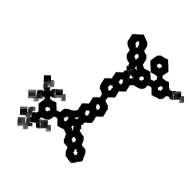 Cc1ccc(-c2cc3c4cc5ccccc5cc4n4c5cc6ccc(-c7ccc8cc9c(cc8c7)c7cc(-c8cc(C(C)(C)C)cc(C(C)(C)C)c8)cc8c%10cc%11ccccc%11cc%10n9c87)cc6cc5c(c2)c34)c(-c2ccccc2)c1